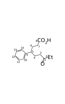 CCC(=O)CCC(CCC(=O)O)c1ccccc1